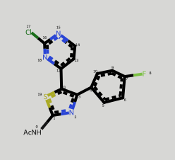 CC(=O)Nc1nc(-c2ccc(F)cc2)c(-c2ccnc(Cl)n2)s1